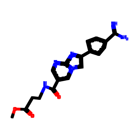 COC(=O)CCNC(=O)c1cnc2nc(-c3ccc(C(=N)N)cc3)cn2c1